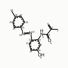 C=C(C)C(=O)Nc1cc(O)ccc1N=Nc1ccc(C)cc1